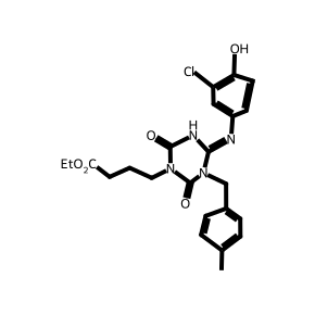 CCOC(=O)CCCn1c(=O)[nH]/c(=N\c2ccc(O)c(Cl)c2)n(Cc2ccc(C)cc2)c1=O